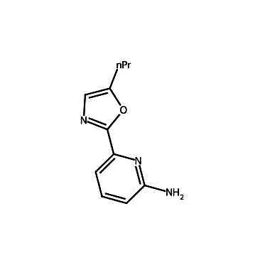 CCCc1cnc(-c2cccc(N)n2)o1